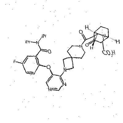 CC(C)N(C(=O)c1cc(F)ccc1Oc1cncnc1N1CC2(CCN(C(=O)[C@@H]3[C@@H]4CC[C@@H](CC4=O)N3C(=O)O)CC2)C1)C(C)C